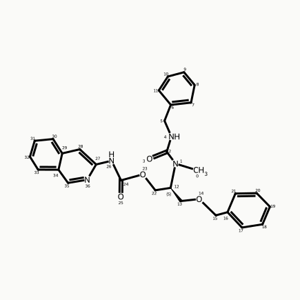 CN(C(=O)NCc1ccccc1)[C@@H](COCc1ccccc1)COC(=O)Nc1cc2ccccc2cn1